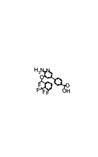 CC(Oc1cc(-c2ccc(C(=O)O)cc2)cnc1N)c1cccc(F)c1C(F)(F)F